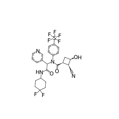 N#C[C@@H]1[C@H](O)C[C@@H]1C(=O)N(c1ccc(S(F)(F)(F)(F)F)cc1)C(C(=O)NC1CCC(F)(F)CC1)c1cccnc1